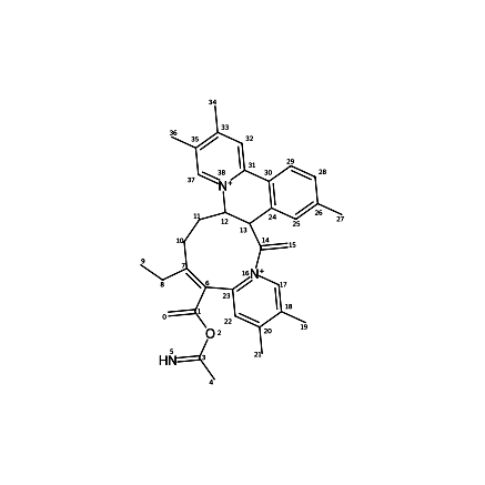 C=C(OC(C)=N)/C1=C(\CC)CCC2C(C(=C)[n+]3cc(C)c(C)cc31)c1cc(C)ccc1-c1cc(C)c(C)c[n+]12